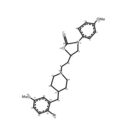 COc1ccc(N2CC(CCN3CCC(Cc4cc(OC)ccc4Br)CC3)OC2=O)cc1